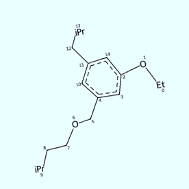 CCOc1cc(COCCC(C)C)cc(CC(C)C)c1